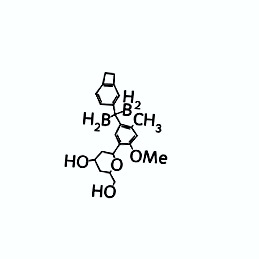 BC(B)(c1ccc2c(c1)CC2)c1cc(C2CC(O)CC(CO)O2)c(OC)cc1C